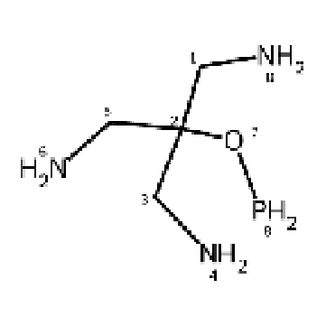 NCC(CN)(CN)OP